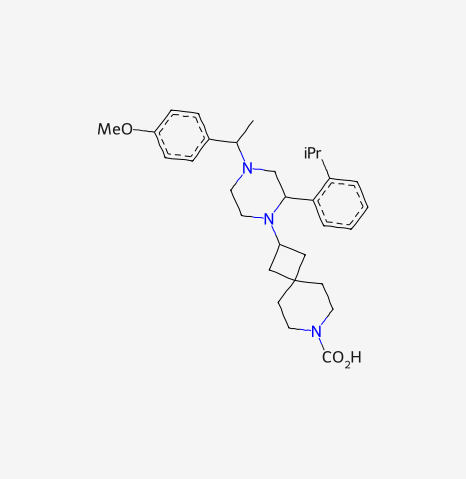 COc1ccc(C(C)N2CCN(C3CC4(CCN(C(=O)O)CC4)C3)C(c3ccccc3C(C)C)C2)cc1